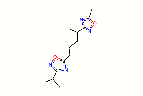 Cc1nc(C(C)CCCc2nc(C(C)C)no2)no1